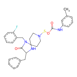 Cc1cccc(NC(=O)OSN2CCC3(CC2)NC(Cc2ccccc2)C(=O)N3Cc2ccccc2F)c1